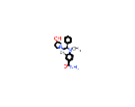 CCc1cc(C(N)=O)ccc1N(C)C(CN1CCC(O)C1)c1ccccc1